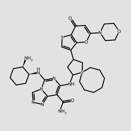 NC(=O)c1c(NC2CC(c3csc4c(=O)cc(N5CCOCC5)oc34)CS23CCCCCCC3)nc(N[C@H]2CCCC[C@H]2N)n2cnnc12